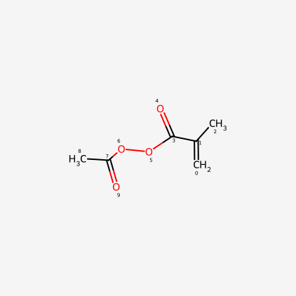 C=C(C)C(=O)OOC(C)=O